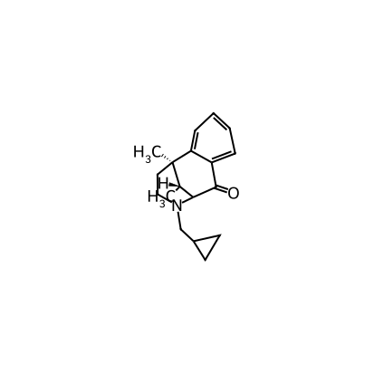 C[C@H]1C2C(=O)c3ccccc3[C@]1(C)CCN2CC1CC1